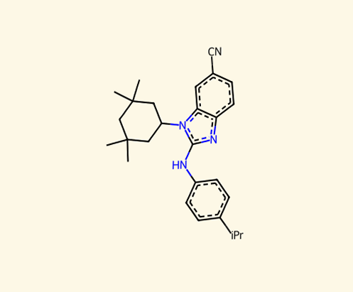 CC(C)c1ccc(Nc2nc3ccc(C#N)cc3n2C2CC(C)(C)CC(C)(C)C2)cc1